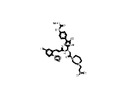 CCN(CC)CCN1CCCN(C(=O)C[C@H](NC(=O)/C=C/c2cc(Cl)ccc2-n2cnnn2)c2nc(-c3ccc(NC(=O)OC)cc3)c(Cl)[nH]2)CC1